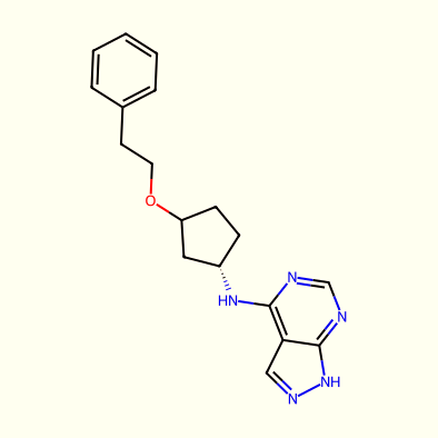 c1ccc(CCOC2CC[C@H](Nc3ncnc4[nH]ncc34)C2)cc1